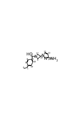 CCc1ccc(C(O)N2CC(n3ccc(N)n3)C2)cc1